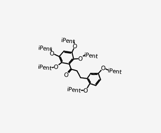 CCCC(C)Oc1ccc(OC(C)CCC)c(CCC(=O)c2c(OC(C)CCC)c(OC(C)CCC)cc(OC(C)CCC)c2OC(C)CCC)c1